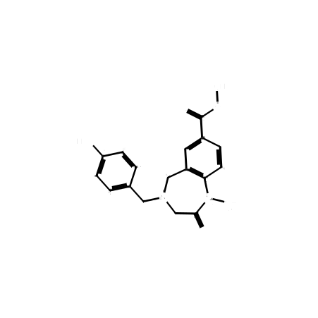 COC(=O)c1ccc2c(c1)CN(Cc1ccc(C)cc1)CC(=O)N2C